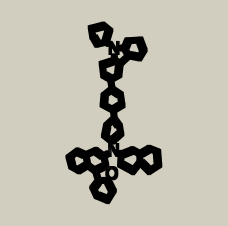 c1ccc(-n2c3ccccc3c3cc(-c4ccc(-c5ccc(N(c6ccc7ccccc7c6)c6cc7ccccc7c7c6oc6ccccc67)cc5)cc4)ccc32)cc1